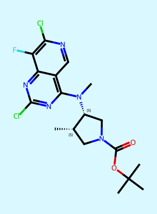 C[C@H]1CN(C(=O)OC(C)(C)C)C[C@H]1N(C)c1nc(Cl)nc2c(F)c(Cl)ncc12